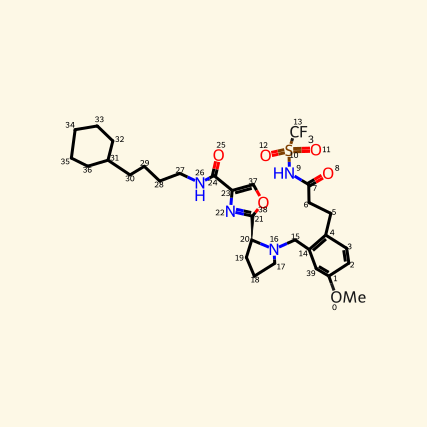 COc1ccc(CCC(=O)NS(=O)(=O)C(F)(F)F)c(CN2CCC[C@H]2c2nc(C(=O)NCCCCC3CCCCC3)co2)c1